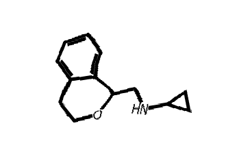 c1ccc2c(c1)CCOC2CNC1CC1